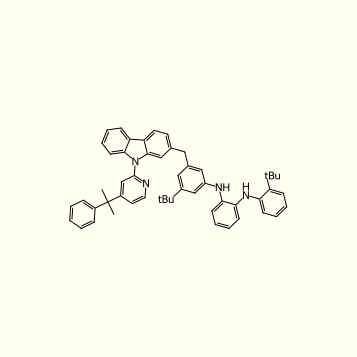 CC(C)(C)c1cc(Cc2ccc3c4ccccc4n(-c4cc(C(C)(C)c5ccccc5)ccn4)c3c2)cc(Nc2ccccc2Nc2ccccc2C(C)(C)C)c1